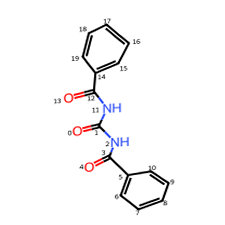 O=C(NC(=O)c1ccccc1)NC(=O)c1ccccc1